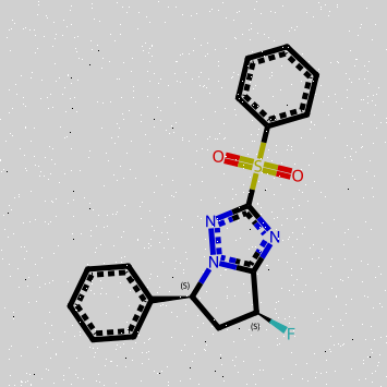 O=S(=O)(c1ccccc1)c1nc2n(n1)[C@H](c1ccccc1)C[C@@H]2F